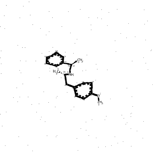 COc1ccc(C[C@H](C)N[C@H](C)c2ccccc2)cc1